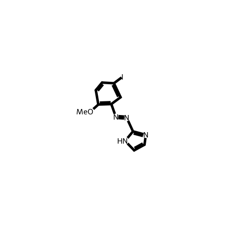 COc1ccc(I)cc1N=Nc1ncc[nH]1